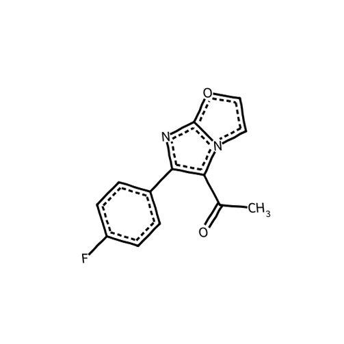 CC(=O)c1c(-c2ccc(F)cc2)nc2occn12